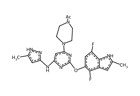 CC(=O)N1CCN(c2cc(Nc3cc(C)[nH]n3)nc(Oc3cc(F)c4[nH]c(C)cc4c3F)n2)CC1